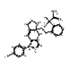 CC(O)(C(N)=O)c1ccccc1CCC12Cc3cnn(-c4ccc(F)cc4)c3C=C1CCO2